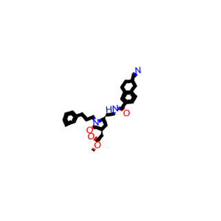 COC(=O)C[C@@H]1C[C@@H](CCNC(=O)c2ccc3c(c2)CCC(C#N)C3)N(CCCc2ccccc2)C1=O